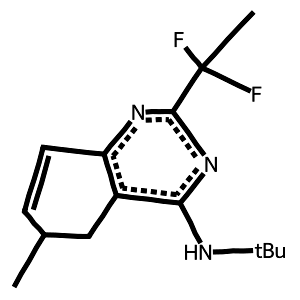 CC1C=Cc2nc(C(C)(F)F)nc(NC(C)(C)C)c2C1